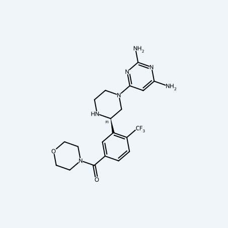 Nc1cc(N2CCN[C@H](c3cc(C(=O)N4CCOCC4)ccc3C(F)(F)F)C2)nc(N)n1